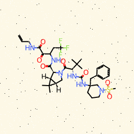 C=CCNC(=O)C(=O)C(CC(F)(F)F)NC(=O)[C@@H]1[C@@H]2[C@H](CN1C(=O)[C@@H](NC(=O)NC1(Cc3ccccc3)CCCN(S(C)(=O)=O)C1)C(C)(C)C)C2(C)C